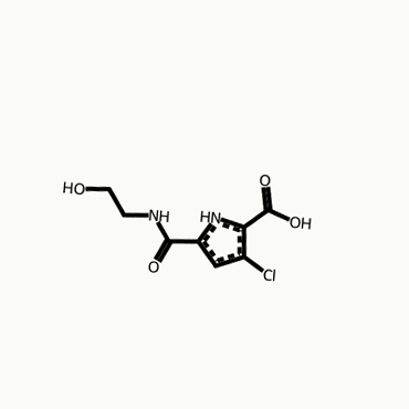 O=C(NCCO)c1cc(Cl)c(C(=O)O)[nH]1